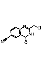 N#Cc1ccc2nc(CCl)[nH]c(=O)c2c1